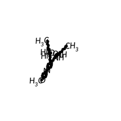 CCCCCCNC(=O)NCCN(CCNC(=O)NCCCCCC)c1ccc(/N=N/c2ccc(OC)cc2)cc1